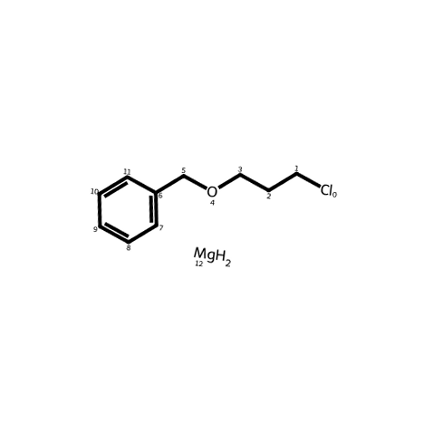 ClCCCOCc1ccccc1.[MgH2]